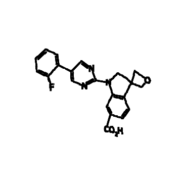 O=C(O)c1ccc2c(c1)N(c1ncc(-c3ccccc3F)cn1)CC21COC1